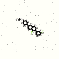 CCCc1ccc(-c2ccc3c(F)c(-c4cccc(F)c4)ccc3c2)cc1